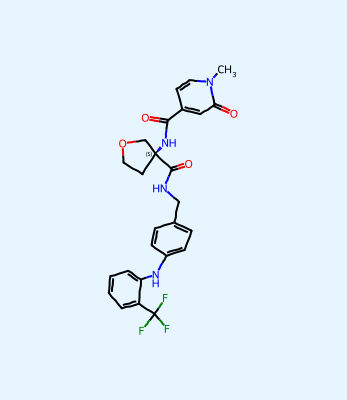 Cn1ccc(C(=O)N[C@@]2(C(=O)NCc3ccc(Nc4ccccc4C(F)(F)F)cc3)CCOC2)cc1=O